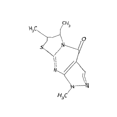 CC1Sc2nc3c(cnn3C)c(=O)n2C1C